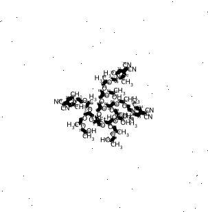 CCC(COCC(COCC(C)OCC(C)O)OCC(C)OCCN1C(C)=CC(=C(C#N)C#N)C=C1C)(COCC(COCC(C)O)OCC(C)OCC(C)O)COCC(COCC(COCC(C)OCCN1C(C)=CC(=C(C#N)C#N)C=C1C)OCC(C)O)OCC(COCC(C)OCCN1C(C)=CC(=C(C#N)C#N)C=C1C)OCC(C)O